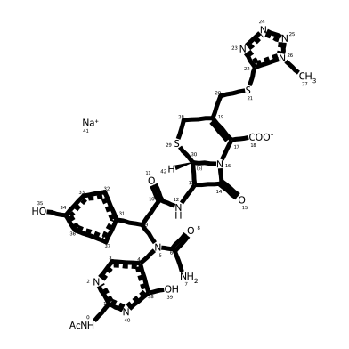 CC(=O)Nc1ncc(N(C(N)=O)C(C(=O)NC2C(=O)N3C(C(=O)[O-])=C(CSc4nnnn4C)CS[C@@H]23)c2ccc(O)cc2)c(O)n1.[Na+]